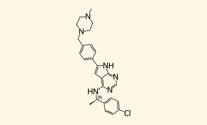 C[C@@H](Nc1ncnc2[nH]c(-c3ccc(CN4CCN(C)CC4)cc3)cc12)c1ccc(Cl)cc1